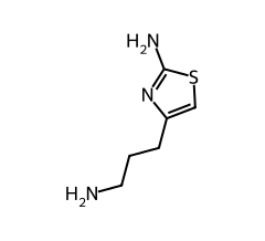 NCCCc1csc(N)n1